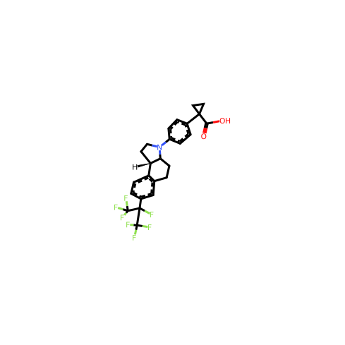 O=C(O)C1(c2ccc(N3CC[C@H]4c5ccc(C(F)(C(F)(F)F)C(F)(F)F)cc5CCC43)cc2)CC1